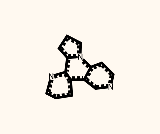 c1cnc2c(c1)c1cnccc1n1cccc21